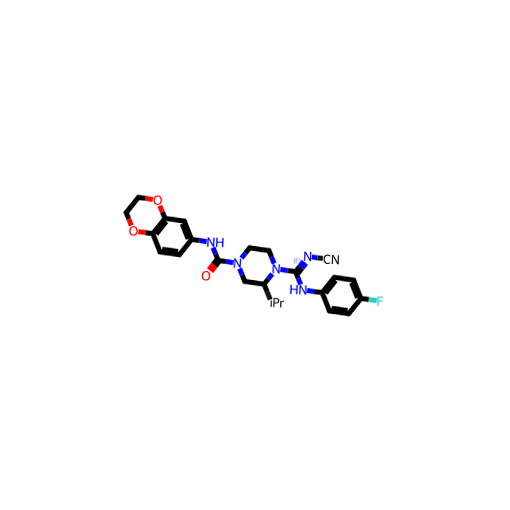 CC(C)C1CN(C(=O)Nc2ccc3c(c2)OCCO3)CCN1/C(=N/C#N)Nc1ccc(F)cc1